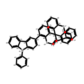 c1ccc(-c2cccc3c2C2(c4ccccc4Sc4ccccc42)c2cccc(-c4ccc5c(c4)c4ccccc4n5-c4ccccc4)c2S3)cc1